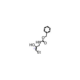 CC/C=C(/O)CNC(=O)OCc1ccccc1